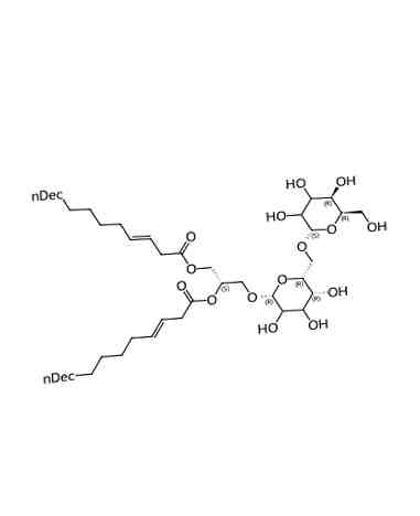 CCCCCCCCCCCCCCC=CCC(=O)OC[C@H](CO[C@@H]1O[C@H](CO[C@H]2O[C@H](CO)[C@H](O)C(O)C2O)[C@H](O)C(O)C1O)OC(=O)CC=CCCCCCCCCCCCCCC